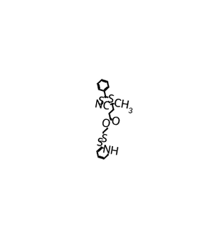 CC(C#N)(CCC(=O)OCCSSC1=CC=CCN1)SC(=S)c1ccccc1